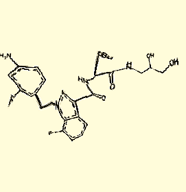 CC(C)(C)C(NC(=O)c1nn(Cc2ccc(N)cc2F)c2c(F)cccc12)C(=O)NCC(O)CO